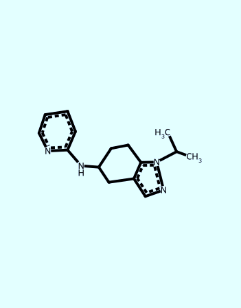 CC(C)n1ncc2c1CCC(Nc1ccccn1)C2